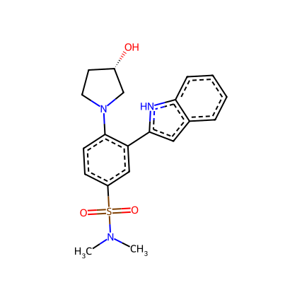 CN(C)S(=O)(=O)c1ccc(N2CC[C@H](O)C2)c(-c2cc3ccccc3[nH]2)c1